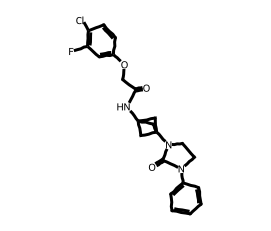 O=C(COc1ccc(Cl)c(F)c1)NC12CC(N3CCN(c4ccccc4)C3=O)(C1)C2